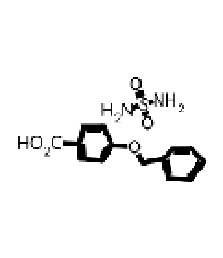 NS(N)(=O)=O.O=C(O)c1ccc(OCc2ccccc2)cc1